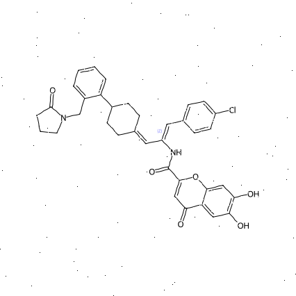 O=C(N/C(C=C1CCC(c2ccccc2CN2CCCC2=O)CC1)=C\c1ccc(Cl)cc1)c1cc(=O)c2cc(O)c(O)cc2o1